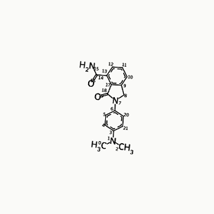 CN(C)c1ccc(N2Cc3cccc(C(N)=O)c3C2=O)cc1